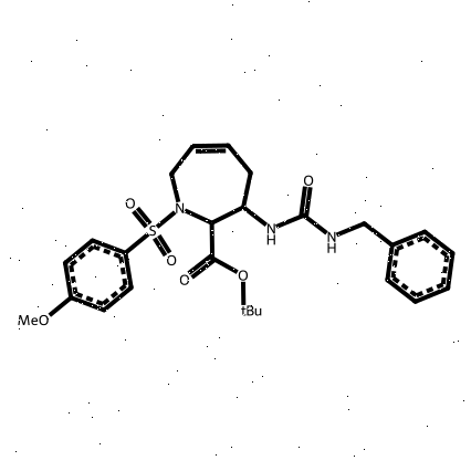 COc1ccc(S(=O)(=O)N2CC=CCC(NC(=O)NCc3ccccc3)C2C(=O)OC(C)(C)C)cc1